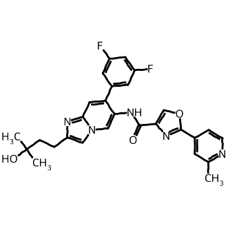 Cc1cc(-c2nc(C(=O)Nc3cn4cc(CCC(C)(C)O)nc4cc3-c3cc(F)cc(F)c3)co2)ccn1